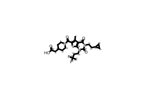 Cc1c(C(=O)N2CCC(CC(=O)O)CC2)sc2c1c(=O)n(CCC1CC1)c(=O)n2CCC(F)(F)F